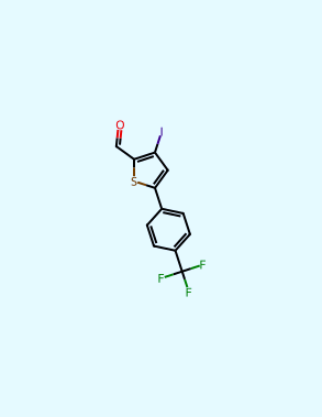 O=Cc1sc(-c2ccc(C(F)(F)F)cc2)cc1I